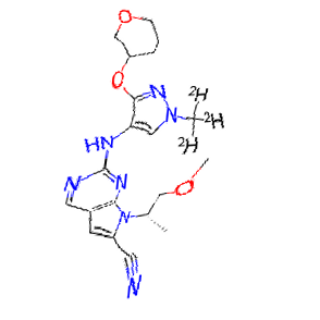 [2H]C([2H])([2H])n1cc(Nc2ncc3cc(C#N)n([C@@H](C)COC)c3n2)c(OC2CCOC2)n1